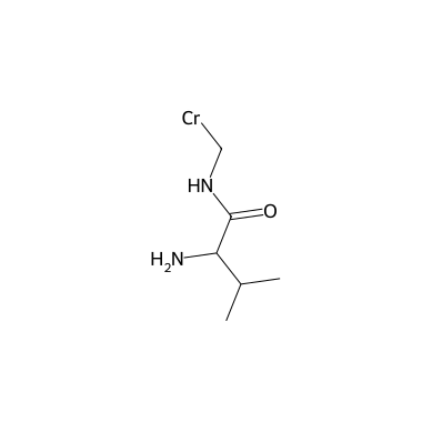 CC(C)C(N)C(=O)N[CH2][Cr]